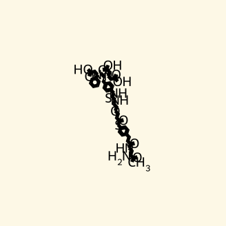 CC(=O)[C@@H](N)CNC(=O)CCc1ccc(SC(=O)CCOCCNC(=S)Nc2ccc(C[C@@H](CN(CC(=O)O)C3CCCCC3)N(CC(=O)O)CC(=O)O)cc2)cc1